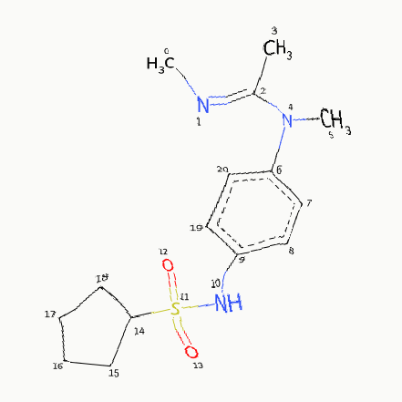 CN=C(C)N(C)c1ccc(NS(=O)(=O)C2CCCC2)cc1